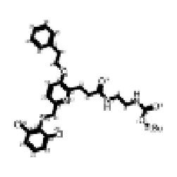 CC(C)(C)OC(=O)NCCNC(=O)CCc1nc(CSc2c(Cl)cccc2Cl)ccc1OCCc1ccccc1